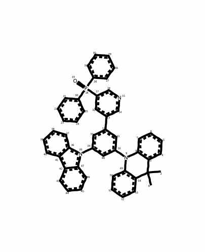 CC1(C)c2ccccc2N(c2cc(-c3cncc(P(=O)(c4ccccc4)c4ccccc4)c3)cc(-n3c4ccccc4c4ccccc43)c2)c2ccccc21